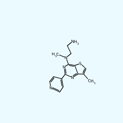 Cc1csc2c(N(C)CCN)nc(-c3ccncc3)nc12